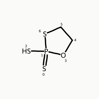 S=P1(S)OCCS1